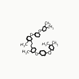 Cc1ccc(Oc2ccc(Oc3ccc(CCc4cc(Oc5cccc(Oc6ccc(C)c(C)c6)c5)ccc4C)c(C)c3)cc2)cc1C